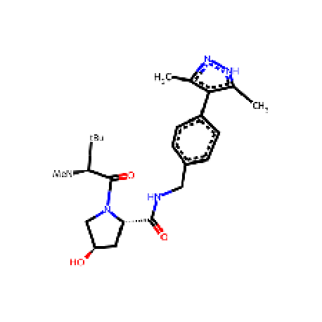 CN[C@H](C(=O)N1C[C@H](O)C[C@H]1C(=O)NCc1ccc(-c2c(C)n[nH]c2C)cc1)C(C)(C)C